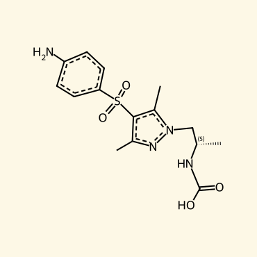 Cc1nn(C[C@H](C)NC(=O)O)c(C)c1S(=O)(=O)c1ccc(N)cc1